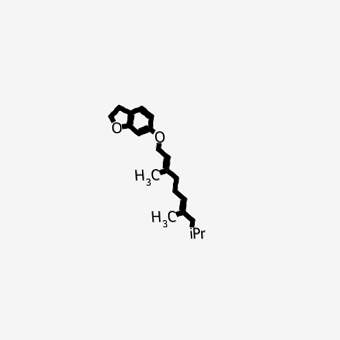 C/C(=C\COc1ccc2c(c1)OCC2)CC/C=C(\C)CC(C)C